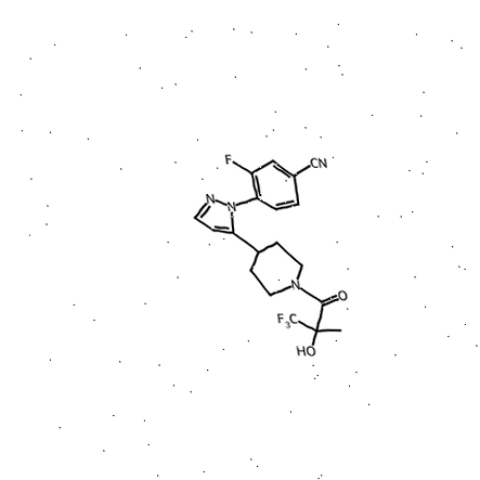 CC(O)(C(=O)N1CCC(c2ccnn2-c2ccc(C#N)cc2F)CC1)C(F)(F)F